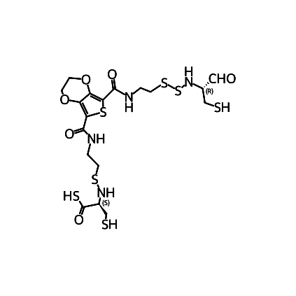 O=C[C@H](CS)NSSCCNC(=O)c1sc(C(=O)NCCSN[C@@H](CS)C(=O)S)c2c1OCCO2